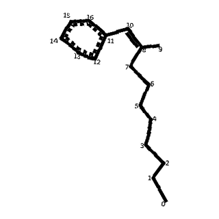 CCCCCCCCC(C)=Cc1ccccc1